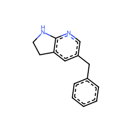 c1ccc(Cc2cnc3c(c2)CCN3)cc1